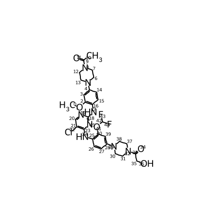 COc1cc(N2CCN(C(C)=O)CC2)ccc1Nc1ncc(Cl)c(Nc2ccc(N3CCN(C(=O)CO)CC3)cc2OC(F)F)n1